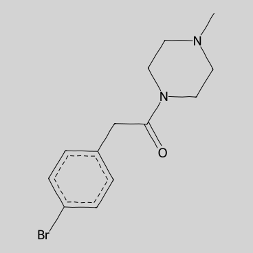 CN1CCN(C(=O)Cc2ccc(Br)cc2)CC1